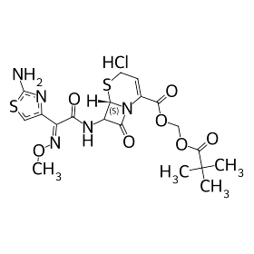 CON=C(C(=O)NC1C(=O)N2C(C(=O)OCOC(=O)C(C)(C)C)=CCS[C@@H]12)c1csc(N)n1.Cl